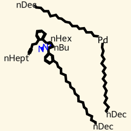 CCCCCCCC#CCCc1ccccc1C1=C(CCCCCC)C(CCCC)=C(c2cccc(CCCCCCCCCCCCCCCCCCCCCCCCCCCCC)c2)[N+]1=[N-].CCCCCCCCCCCCCCCCCCCCCCCCCCC[CH2][Pd][CH2]CCCCCCCCCCCCCCCCCCCCCCCCCCC